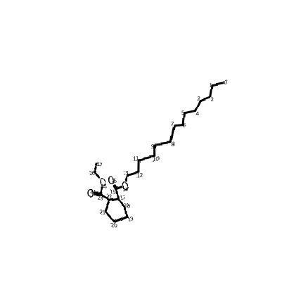 CCCCCCCCCCCCCCOC(=O)C1CCCCC1C(=O)OCC